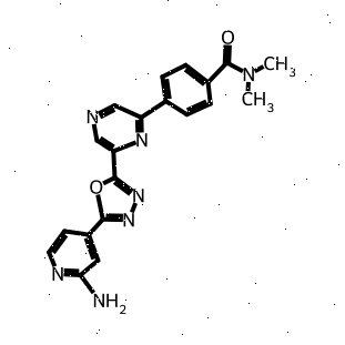 CN(C)C(=O)c1ccc(-c2cncc(-c3nnc(-c4ccnc(N)c4)o3)n2)cc1